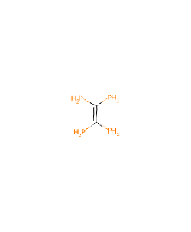 PC(P)=C(P)P